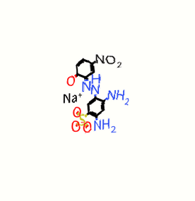 Nc1cc(N)c(S(=O)(=O)[O-])cc1N/N=C1\C=C([N+](=O)[O-])C=CC1=O.[Na+]